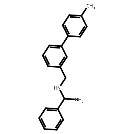 Cc1ccc(-c2cccc(CNC(N)c3ccccc3)c2)cc1